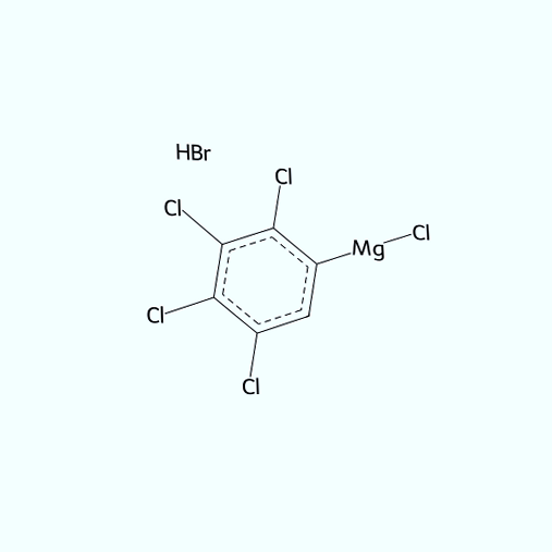 Br.[Cl][Mg][c]1cc(Cl)c(Cl)c(Cl)c1Cl